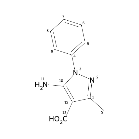 Cc1nn(-c2ccccc2)c(N)c1C(=O)O